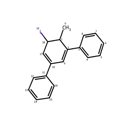 CC1C(c2ccccc2)=CC(c2ccccc2)=CC1I